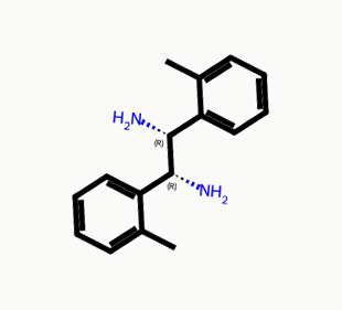 Cc1ccccc1[C@@H](N)[C@H](N)c1ccccc1C